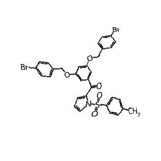 Cc1ccc(S(=O)(=O)n2cccc2C(=O)c2cc(OCc3ccc(Br)cc3)cc(OCc3ccc(Br)cc3)c2)cc1